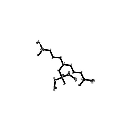 CCCN(C)CCCN(CCCN(C)CCC)C[Si](C)(OCC)OCC